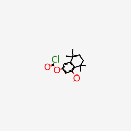 COc1cc(OC(=O)Cl)cc2c1C(C)(C)CCC2(C)C